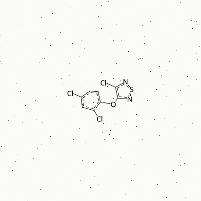 Clc1ccc(Oc2nsnc2Cl)c(Cl)c1